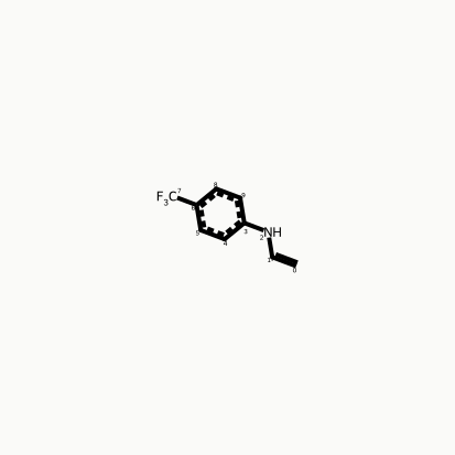 C=[C]Nc1ccc(C(F)(F)F)cc1